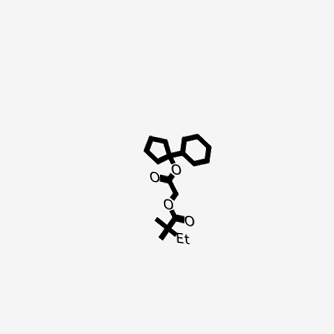 CCC(C)(C)C(=O)OCC(=O)OC1(C2CCCCC2)CCCC1